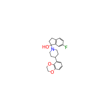 OC1(N2CCC(c3cccc4c3OCCO4)CC2)CCc2ccc(F)cc21